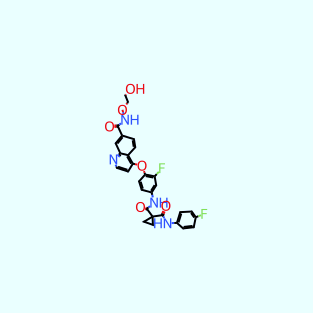 O=C(NOCCO)c1ccc2c(Oc3ccc(NC(=O)C4(C(=O)Nc5ccc(F)cc5)CC4)cc3F)ccnc2c1